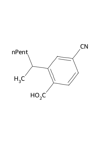 CCCCCC(C)c1cc(C#N)ccc1C(=O)O